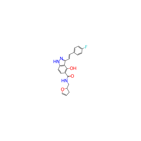 O=C(NCC1CC=CO1)c1ccc2[nH]nc(/C=C/c3ccc(F)cc3)c2c1O